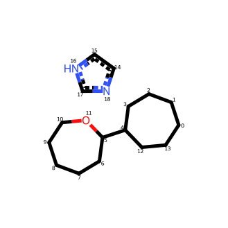 C1CCCC(C2CCCCCO2)CC1.c1c[nH]cn1